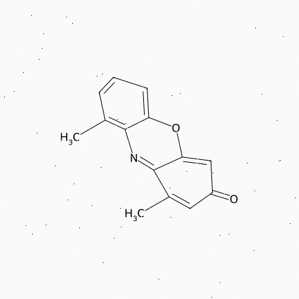 Cc1cc(=O)cc2oc3cccc(C)c3nc1-2